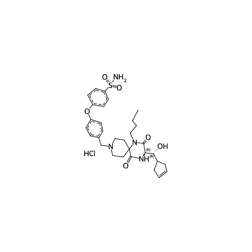 CCCCN1C(=O)[C@@H]([C@H](O)C2CC=CC2)NC(=O)C12CCN(Cc1ccc(Oc3ccc(S(N)(=O)=O)cc3)cc1)CC2.Cl